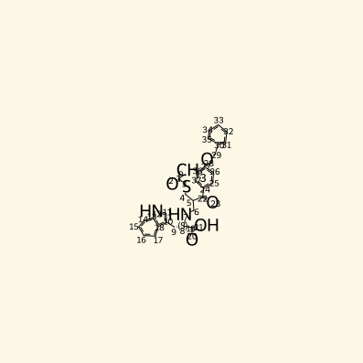 CC(=O)SCC(CN[C@@H](Cc1c[nH]c2ccccc12)C(=O)O)C(=O)c1ccc(OCc2ccccc2)cc1